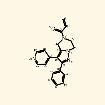 C=CC(=O)N1CCn2nc(-c3ccccc3)c(-c3ccncc3)c2C1